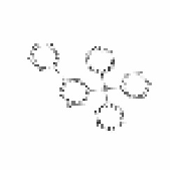 c1ccc(-c2cncc([Si](c3ccccc3)(c3ccccc3)c3ccccc3)c2)cc1